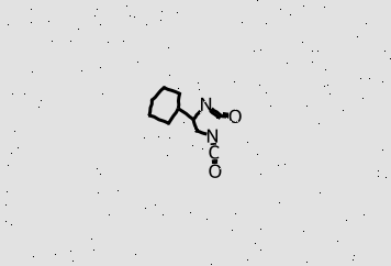 O=C=NCC(N=C=O)C1CCCCC1